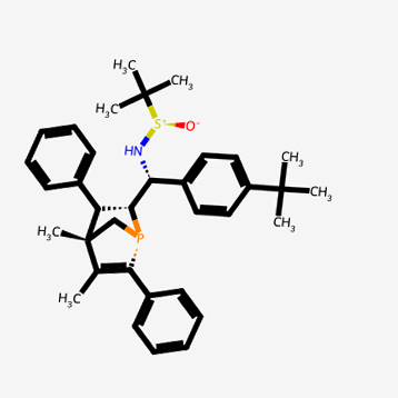 CC1=C(c2ccccc2)[P@]2C[C@@]1(C)C(c1ccccc1)[C@@H]2[C@H](N[S@+]([O-])C(C)(C)C)c1ccc(C(C)(C)C)cc1